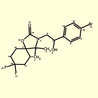 CC1(C)N(CC(O)c2ccc(Br)cc2)C(=O)OC12CCC(F)(F)CC2